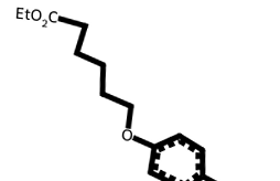 CCOC(=O)CCCCCOc1ccc(N)cc1